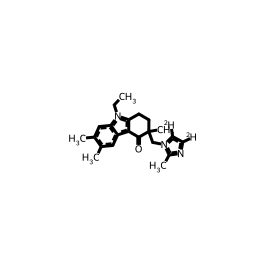 [2H]c1nc(C)n(CC2(C)CCc3c(c4cc(C)c(C)cc4n3CC)C2=O)c1[2H]